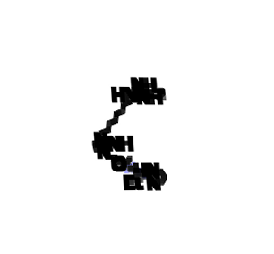 CC/C(=C\C=C(/C)OCCn1ccn(CCCCCCCCNC(=N)N)c1=N)C1=NCCCN1